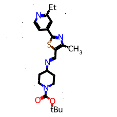 CCc1cc(-c2nc(C)c(C=NC3CCN(C(=O)OC(C)(C)C)CC3)s2)ccn1